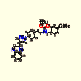 COc1ccc(CN(CCC2CCC(n3cc(-c4cnc5ccccc5n4)cn3)CC2)C(=O)OC(C)(C)C)cc1